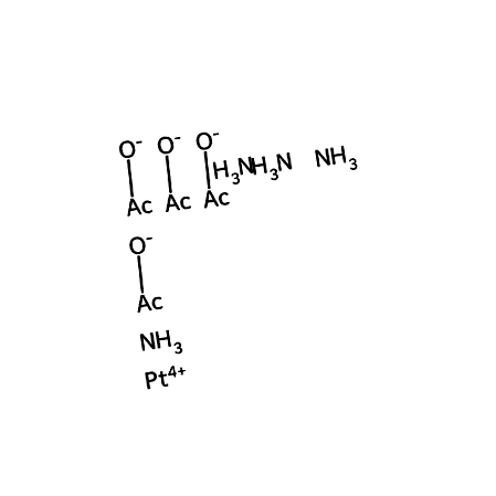 CC(=O)[O-].CC(=O)[O-].CC(=O)[O-].CC(=O)[O-].N.N.N.N.[Pt+4]